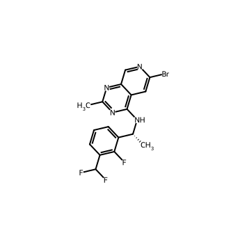 Cc1nc(N[C@H](C)c2cccc(C(F)F)c2F)c2cc(Br)ncc2n1